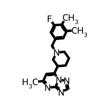 Cc1cc(C2CCCN(Cc3cc(C)c(C)c(F)c3)C2)n2ncnc2n1